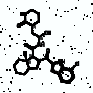 N#C[C@H](C[C@@H]1CCCNC1=O)NC(=O)[C@@H]1[C@H]2CCCCC2CN1C(=O)c1cc2cccc(Cl)c2[nH]1